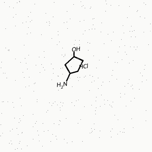 Cl.NC1CCC(O)C1